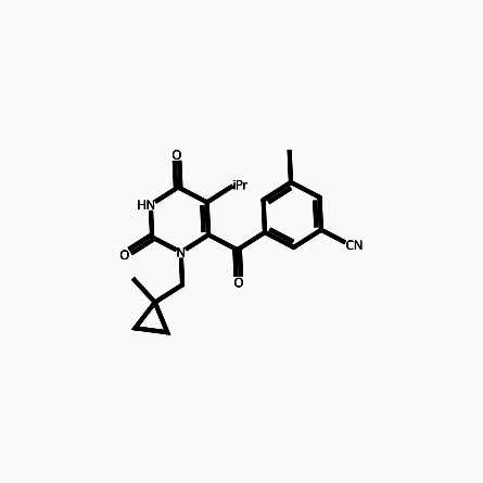 Cc1cc(C#N)cc(C(=O)c2c(C(C)C)c(=O)[nH]c(=O)n2CC2(C)CC2)c1